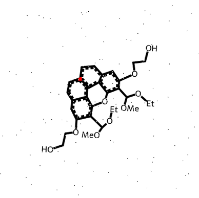 CCOC(OC)c1c(OCCO)cc2ccccc2c1Oc1c(C(OC)OCC)c(OCCO)cc2ccccc12